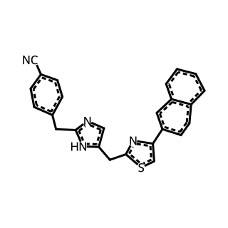 N#Cc1ccc(Cc2ncc(Cc3nc(-c4ccc5ccccc5c4)cs3)[nH]2)cc1